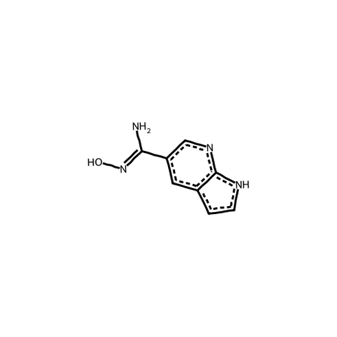 NC(=NO)c1cnc2[nH]ccc2c1